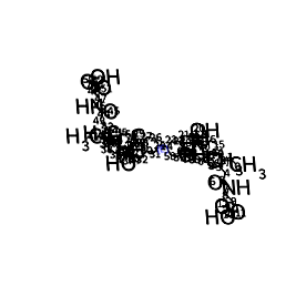 CC[C@@H](CCC(=O)NCCS(=O)(=O)O)[C@H]1CC[C@H]2[C@@H]3[C@@H](O)CC4C/C(=C5\CC[C@@]6(C)C(C5)C[C@H](O)[C@H]5[C@@H]7CC[C@H]([C@H](C)CCC(=O)NCCS(=O)(=O)O)[C@@]7(C)CC[C@@H]56)CC[C@]4(C)[C@H]3CC[C@]12C